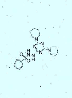 O=S(=O)(NNc1nc(N2CCCCC2)nc(N2CCCCC2)n1)c1ccccc1